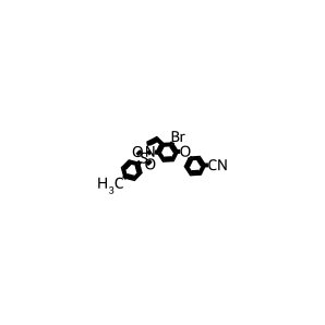 Cc1ccc(S(=O)(=O)n2ccc3c(Br)c(Oc4cccc(C#N)c4)ccc32)cc1